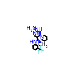 C=N/C(Nc1cccc(C(F)(F)F)c1)=C(C=N)\C(=N/CNC)N1CCCCC1